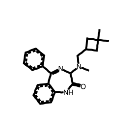 CN(CC1CC(C)(C)C1)C1N=C(c2ccccc2)c2ccccc2NC1=O